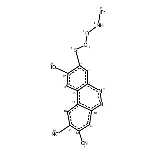 CC(C)NOOSc1cc2nnc3cc(C#N)c(C#N)cc3c2cc1O